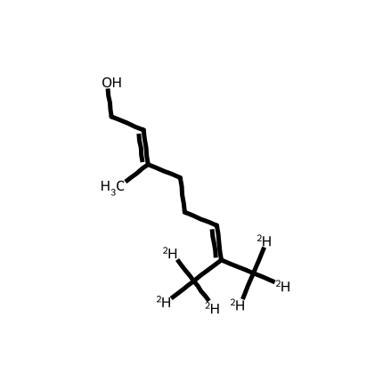 [2H]C([2H])([2H])C(=CCC/C(C)=C/CO)C([2H])([2H])[2H]